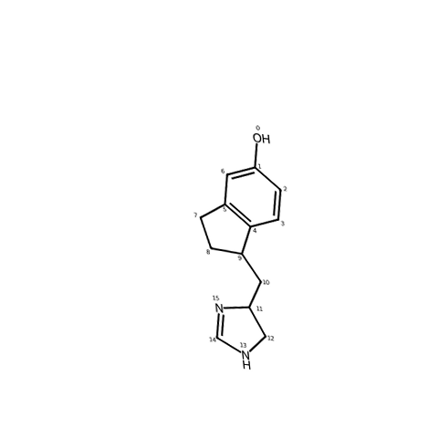 Oc1ccc2c(c1)CCC2CC1CNC=N1